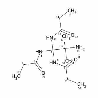 CCC(=O)NC(NC(=O)CC)(NC(=O)CC)C(C)(C)N